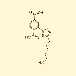 CCCCCCc1ccc(-c2cc(C(=O)O)ccc2C(=O)O)s1